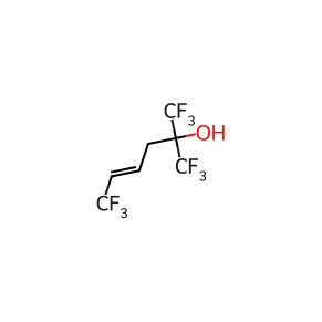 OC(C/C=C/C(F)(F)F)(C(F)(F)F)C(F)(F)F